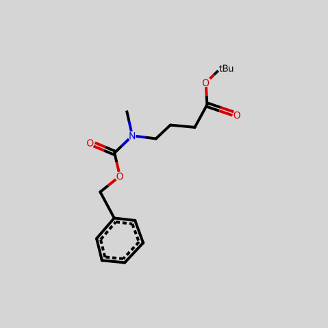 CN(CCCC(=O)OC(C)(C)C)C(=O)OCc1ccccc1